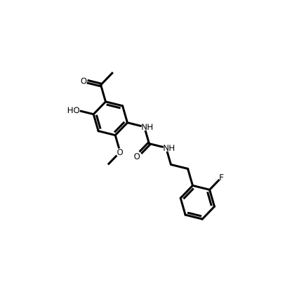 COc1cc(O)c(C(C)=O)cc1NC(=O)NCCc1ccccc1F